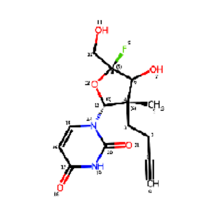 C#CCC[C@@]1(C)C(O)[C@@](F)(CO)O[C@H]1n1ccc(=O)[nH]c1=O